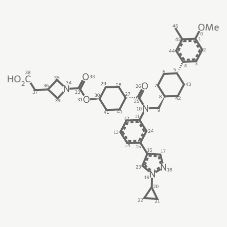 COc1ccc([C@H]2CC[C@H](CN(c3cccc(-c4cnn(C5CC5)c4)c3)C(=O)[C@H]3CC[C@H](OC(=O)N4CC(CC(=O)O)C4)CC3)CC2)cc1C